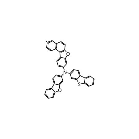 c1ccc2c(c1)oc1cc(N(c3ccc4c(c3)oc3ccc5cnccc5c34)c3ccc4c(c3)sc3ccccc34)ccc12